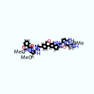 COC[C@H]1C[C@@H](c2ncc(-c3ccc4c(c3)COc3cc5c(ccc6nc([C@@H]7CC[C@H](C)N7C(=O)[C@@H](NC(=N)OC)C(C)C)[nH]c65)cc3-4)[nH]2)N(C(=O)[C@H](NC(=O)OC)c2ccccc2)C1